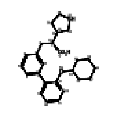 O=C(O)[C@@H](Cc1cccc(-c2cccnc2OC2CCCCC2)c1)[C@H]1CCNC1